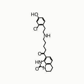 O=C(CCCCNCCc1ccc(O)cc1Cl)c1ccc2c3c1[nH]c(=O)n3CCC2